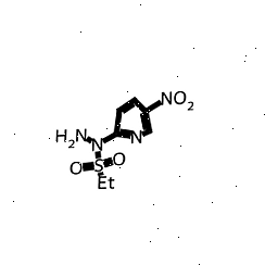 CCS(=O)(=O)N(N)c1ccc([N+](=O)[O-])cn1